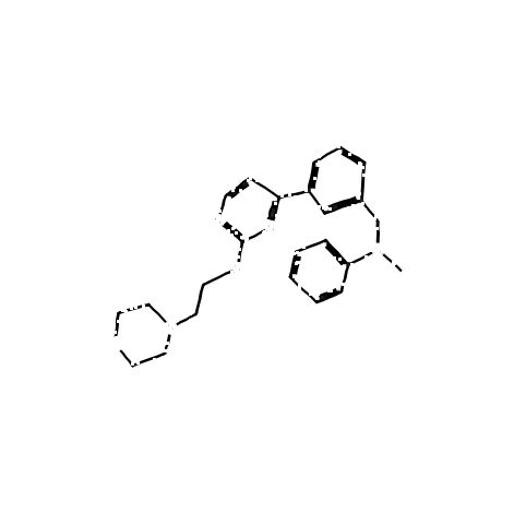 CN(Cc1cccc(-c2ccnc(NCCN3CCOCC3)n2)c1)c1ccccc1